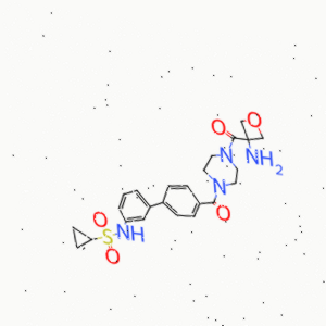 NC1(C(=O)N2CCN(C(=O)c3ccc(-c4cccc(NS(=O)(=O)C5CC5)c4)cc3)CC2)COC1